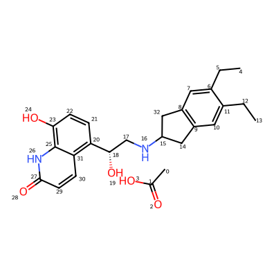 CC(=O)O.CCc1cc2c(cc1CC)CC(NC[C@H](O)c1ccc(O)c3[nH]c(=O)ccc13)C2